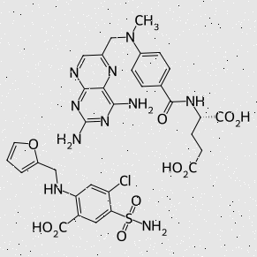 CN(Cc1cnc2nc(N)nc(N)c2n1)c1ccc(C(=O)N[C@@H](CCC(=O)O)C(=O)O)cc1.NS(=O)(=O)c1cc(C(=O)O)c(NCc2ccco2)cc1Cl